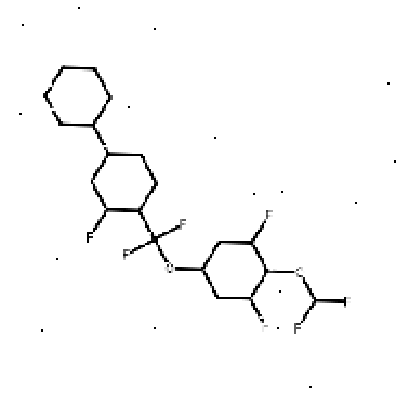 FC(F)OC1C(F)CC(OC(F)(F)C2CCC(C3CCCCC3)CC2F)CC1F